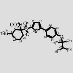 CC(C)(C)C1CC(C(=O)O)(S(=O)(=O)c2ccc(-c3ccc(OC(F)(F)C(F)F)cc3)s2)CCO1